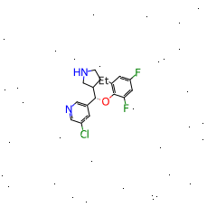 CCc1cc(F)cc(F)c1O[C@H](c1cncc(Cl)c1)C1CCNC1